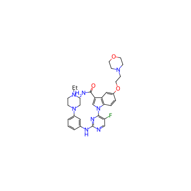 CCN1CCN(c2cccc(Nc3ncc(F)c(-n4cc(C(N)=O)c5cc(OCCN6CCOCC6)ccc54)n3)c2)CC1